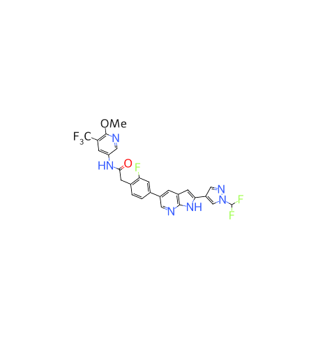 COc1ncc(NC(=O)Cc2ccc(-c3cnc4[nH]c(-c5cnn(C(F)F)c5)cc4c3)cc2F)cc1C(F)(F)F